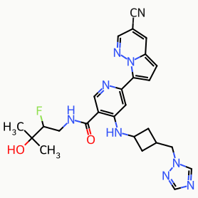 CC(C)(O)C(F)CNC(=O)c1cnc(-c2ccc3cc(C#N)cnn23)cc1NC1CC(Cn2cncn2)C1